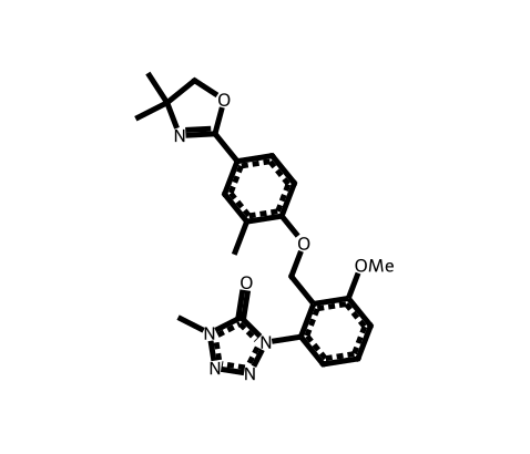 COc1cccc(-n2nnn(C)c2=O)c1COc1ccc(C2=NC(C)(C)CO2)cc1C